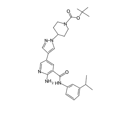 CC(C)c1cccc(NC(=O)c2cc(-c3cnn(C4CCN(C(=O)OC(C)(C)C)CC4)c3)cnc2N)c1